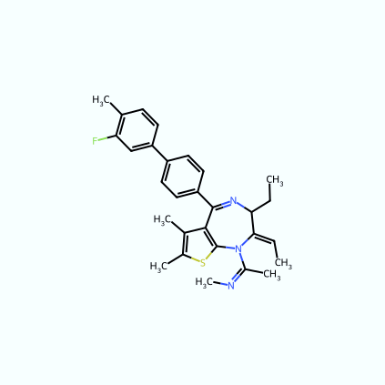 C/C=C1/C(CC)N=C(c2ccc(-c3ccc(C)c(F)c3)cc2)c2c(sc(C)c2C)N1/C(C)=N\C